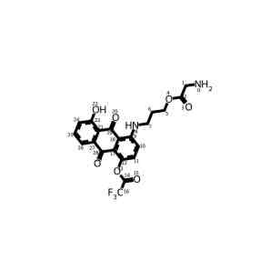 NCC(=O)OCCCNc1ccc(OC(=O)C(F)(F)F)c2c1C(=O)c1c(O)cccc1C2=O